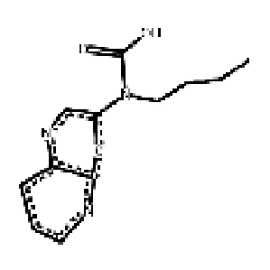 CCCCN(C(=O)O)c1cnc2cccnc2c1